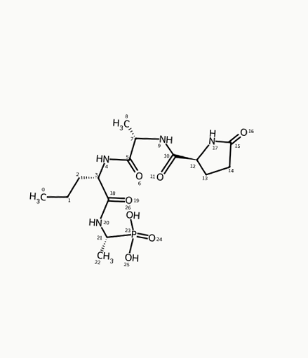 CCC[C@H](NC(=O)[C@H](C)NC(=O)[C@@H]1CCC(=O)N1)C(=O)N[C@@H](C)P(=O)(O)O